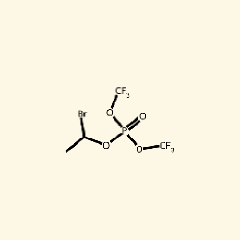 CC(Br)OP(=O)(OC(F)(F)F)OC(F)(F)F